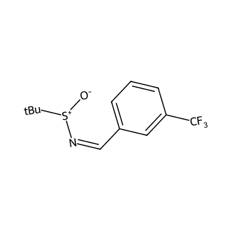 CC(C)(C)[S+]([O-])/N=C\c1cccc(C(F)(F)F)c1